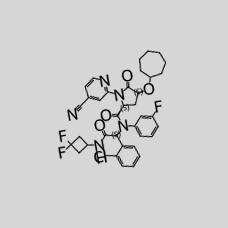 N#Cc1ccnc(N2C(=O)[C@@H](OC3CCCCCC3)C[C@H]2C(=O)N(c2cccc(F)c2)[C@H](C(=O)NC2CC(F)(F)C2)c2ccccc2Cl)c1